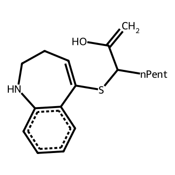 C=C(O)C(CCCCC)SC1=CCCNc2ccccc21